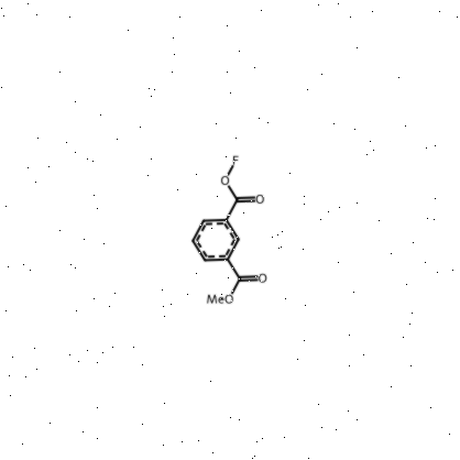 COC(=O)c1cccc(C(=O)OF)c1